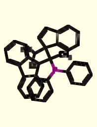 CCCC(CC)C1(C(C)(C2c3ccccc3-c3ccccc32)P(c2ccccc2)c2ccccc2)C=Cc2ccccc21